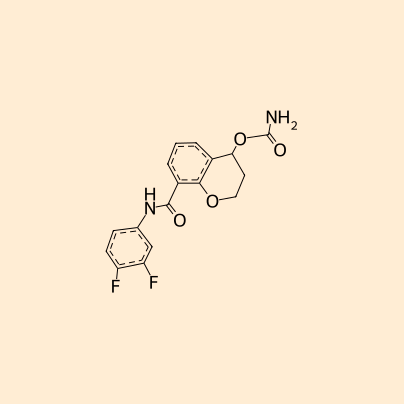 NC(=O)OC1CCOc2c(C(=O)Nc3ccc(F)c(F)c3)cccc21